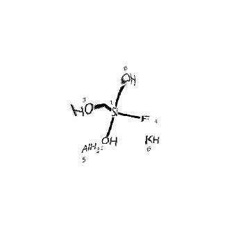 O[Si](O)(O)F.[AlH3].[KH]